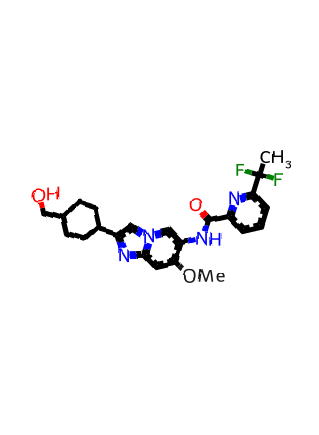 COc1cc2nc(C3CCC(CO)CC3)cn2cc1NC(=O)c1cccc(C(C)(F)F)n1